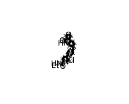 CCNC(=O)c1ccc(N2CCN(Cc3ccc4c5c(c(=O)[nH]c4c3)COC5)CC2)c(Cl)n1